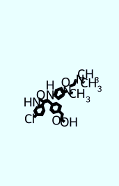 CN(C)CCC(=O)N(C)c1ccc(N/C(=C2\C(=O)Nc3cc(Cl)ccc32)c2ccc(CC(=O)O)cc2)cc1